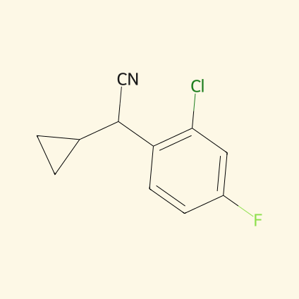 N#CC(c1ccc(F)cc1Cl)C1CC1